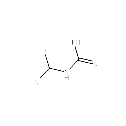 CC(P)NC(=O)P